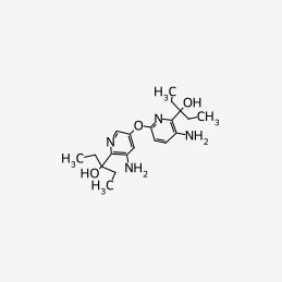 CCC(O)(CC)c1ncc(Oc2ccc(N)c(C(O)(CC)CC)n2)cc1N